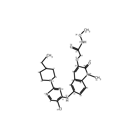 CCC1CCN(c2ncc(Cl)c(Nc3ccc4c(c3)cc(OCC(=O)NOC)c(=O)n4C)n2)CC1